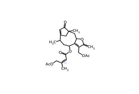 C=C1OC2CC3(C)CC(=CC3=O)C(C)CC(OC(=O)/C=C(/C)COC(C)=O)C2=C1COC(C)=O